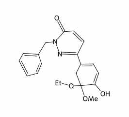 CCOC1(OC)CC(c2ccc(=O)n(Cc3ccccc3)n2)=CC=C1O